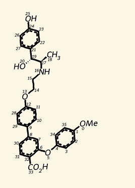 COc1ccc(Oc2cc(-c3ccc(OCCN[C@H](C)[C@H](O)c4ccc(O)cc4)cc3)ccc2C(=O)O)cc1